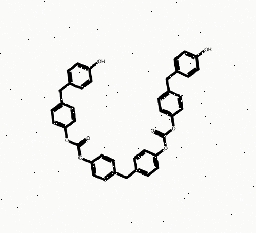 O=C(Oc1ccc(Cc2ccc(O)cc2)cc1)Oc1ccc(Cc2ccc(OC(=O)Oc3ccc(Cc4ccc(O)cc4)cc3)cc2)cc1